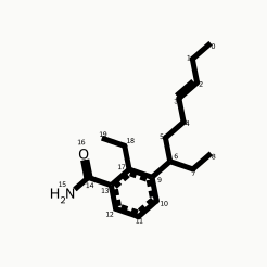 CCC=CCCC(CC)c1cccc(C(N)=O)c1CC